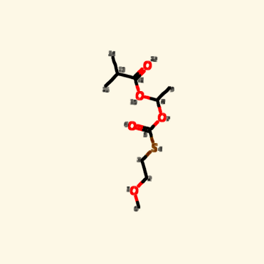 COCCSC(=O)OC(C)OC(=O)C(C)C